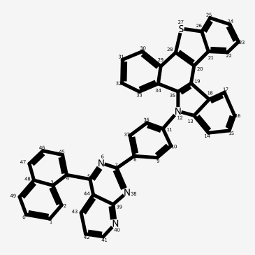 c1ccc2c(-c3nc(-c4ccc(-n5c6ccccc6c6c7c8ccccc8sc7c7ccccc7c65)cc4)nc4ncccc34)cccc2c1